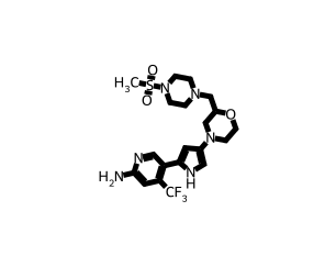 CS(=O)(=O)N1CCN(CC2CN(c3c[nH]c(-c4cnc(N)cc4C(F)(F)F)c3)CCO2)CC1